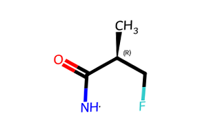 C[C@@H](CF)C([NH])=O